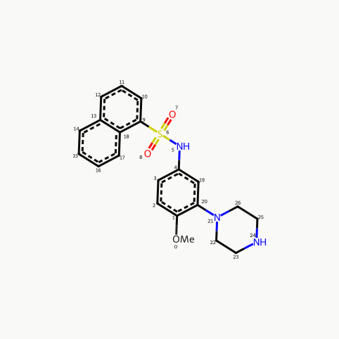 COc1ccc(NS(=O)(=O)c2cccc3ccccc23)cc1N1CCNCC1